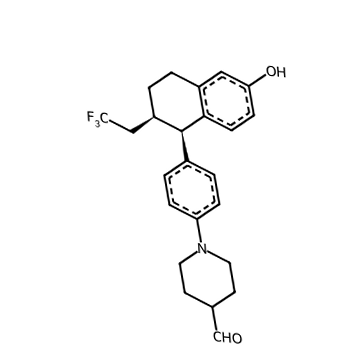 O=CC1CCN(c2ccc([C@@H]3c4ccc(O)cc4CC[C@@H]3CC(F)(F)F)cc2)CC1